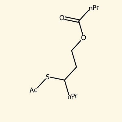 CCCC(=O)OCCC(CCC)SC(C)=O